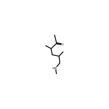 CNCC(C)CC(C)C(C)=O